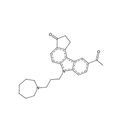 CC(=O)c1ccc2c(c1)c1c3c(ccc1n2CCCN1CCCCCC1)C(=O)CC3